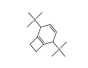 C[Si](C)(C)C1C=CC([Si](C)(C)C)C2=C1CC2